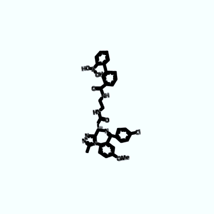 COc1ccc2c(c1)C(c1ccc(Cl)cc1)=N[C@@H](CC(=O)NCCNC(=O)c1cccc(-c3ccccc3B(O)O)c1)c1nnc(C)n1-2